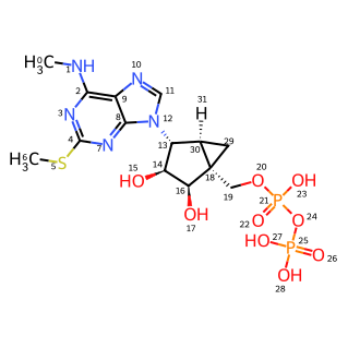 CNc1nc(SC)nc2c1ncn2[C@H]1[C@H](O)[C@H](O)[C@]2(COP(=O)(O)OP(=O)(O)O)C[C@H]12